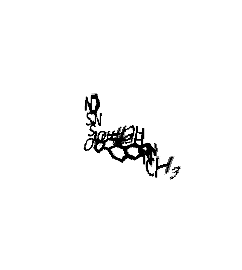 Cn1ncc2c1C=C1CCC3C([C@@H](O)CC4(C)C3CC[C@]4(O)C(=O)CSc3nc4cccnc4s3)C1(C)C2